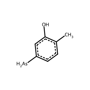 Cc1ccc([AsH2])cc1O